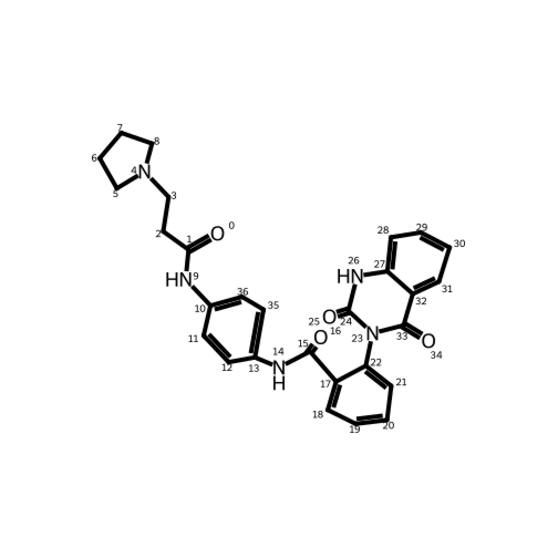 O=C(CCN1CCCC1)Nc1ccc(NC(=O)c2ccccc2-n2c(=O)[nH]c3ccccc3c2=O)cc1